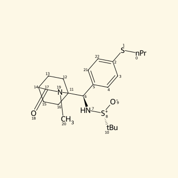 CCCSc1ccc([C@@H](N[S@+]([O-])C(C)(C)C)C23CCC(CC2)C(=O)N3C)cc1